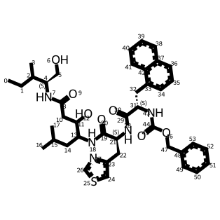 CCC(C)[C@@H](CO)NC(=O)CC(O)C(CC(C)C)NC(=O)[C@H](Cc1cscn1)NC(=O)[C@H](Cc1cccc2ccccc12)NC(=O)OCc1ccccc1